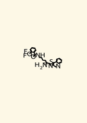 N[C@@H](CCCCNC(=O)c1ccccc1OC(F)F)c1nc2cnc3ccccc3c2s1